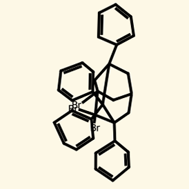 BrC12CC3CC(c4ccccc4)(C1)C(c1ccccc1)(c1ccccc1)C(c1ccccc1)(C3)C2(Br)Br